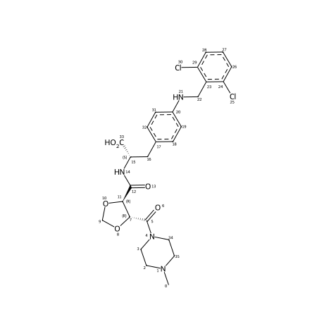 CN1CCN(C(=O)[C@@H]2OCO[C@H]2C(=O)N[C@@H](Cc2ccc(NCc3c(Cl)cccc3Cl)cc2)C(=O)O)CC1